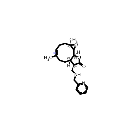 C/C1=C/CC[C@@]2(C)OC2[C@H]2OC(=O)[C@@H](CNCc3ccccn3)[C@@H]2CC1